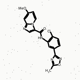 COc1ccn2c(C(=O)Nc3cc(-c4noc(C)n4)ccc3Cl)cnc2c1